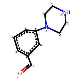 O=Cc1cccc(N2CCNCC2)c1